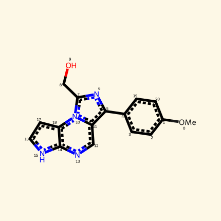 COc1ccc(-c2nc(CO)n3c2cnc2[nH]ccc23)cc1